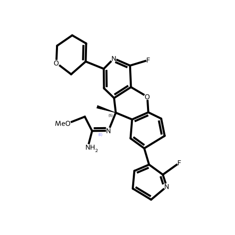 COC/C(N)=N\[C@@]1(C)c2cc(-c3cccnc3F)ccc2Oc2c1cc(C1=CCCOC1)nc2F